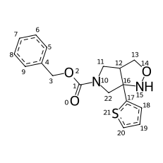 O=C(OCc1ccccc1)N1CC2CONC2(c2cccs2)C1